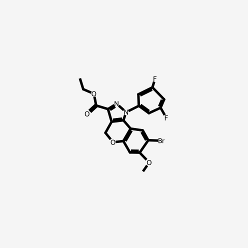 CCOC(=O)c1nn(-c2cc(F)cc(F)c2)c2c1COc1cc(OC)c(Br)cc1-2